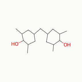 CC1CC(CC2CC(C)C(O)C(C)C2)CC(C)C1O